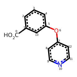 O=C(O)c1cccc(Oc2ccncc2)c1